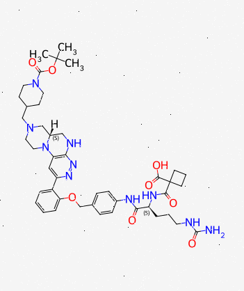 CC(C)(C)OC(=O)N1CCC(CN2CCN3c4cc(-c5ccccc5OCc5ccc(NC(=O)[C@H](CCCNC(N)=O)NC(=O)C6(C(=O)O)CCC6)cc5)nnc4NC[C@H]3C2)CC1